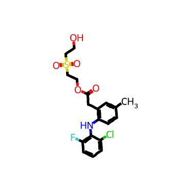 Cc1ccc(Nc2c(F)cccc2Cl)c(CC(=O)OCCS(=O)(=O)CCO)c1